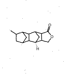 CC1CC2CC1C1C3C[C@@H](C4COC(=O)C34)C21